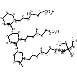 CC1=NCCCN1CCCNCCC(=O)O.CC1=NCCCN1CCCNCCC(=O)O.CC1=NCCCN1CCCNCCC(=O)O.CCC(CO)(CO)CO